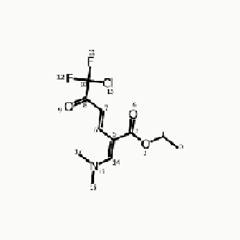 CCOC(=O)C(/C=C/C(=O)C(F)(F)Cl)=C/N(C)C